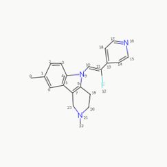 Cc1ccc2c(c1)c1c(n2C=C(F)c2ccncc2)CCN(C)C1